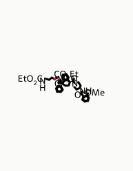 CCOC(=O)NCCCC[C@H](NC(=O)[C@@]1(c2ccccc2)CC[C@H](C(=O)N2CCC(NC(=O)c3ccccc3OC)CC2)c2ccccc21)C(=O)OCC